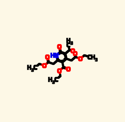 CCOC(=O)Cc1[nH]c(=O)c(C(C)=O)c(CC(=O)OCC)c1C(=O)OCC